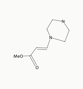 COC(=O)C=CN1CC[N]CC1